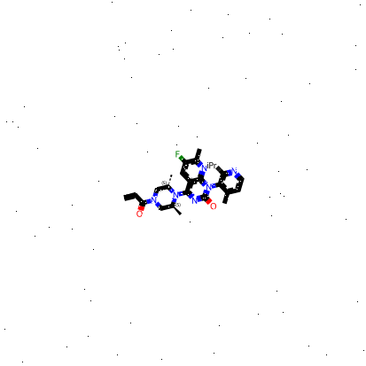 C=CC(=O)N1C[C@H](C)N(c2nc(=O)n(-c3c(C)ccnc3C(C)C)c3nc(C)c(F)cc23)[C@@H](C)C1